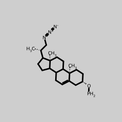 C[C@H](CN=[N+]=[N-])C1CCC2C3CC=C4C[C@@H](OP)CC[C@]4(C)C3CC[C@@]21C